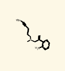 C=C(CN(C)C/C=C/C#CC(C)(C)C)c1ccccc1N